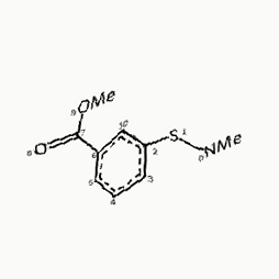 CNSc1cccc(C(=O)OC)c1